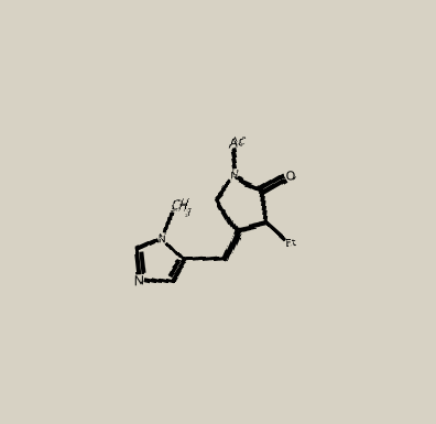 CCC1C(=O)N(C(C)=O)CC1Cc1cncn1C